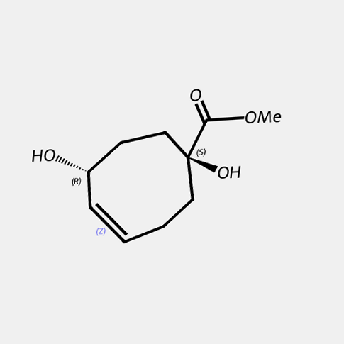 COC(=O)[C@]1(O)CC/C=C\[C@H](O)CC1